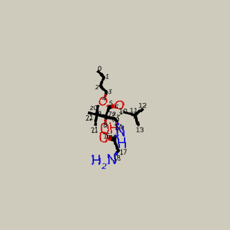 CCCCOC(=O)C(O)([C@H](CC(C)C)NC(=O)CN)C(C)(C)C